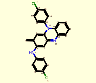 C=c1cc2c(cc1Nc1ccc(Cl)cc1)=Nc1ccccc1N2c1ccc(Cl)cc1